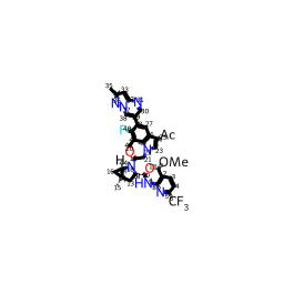 COCc1ccc(C(F)(F)F)nc1NC(=O)[C@@H]1C[C@@]2(C)C[C@H]2N1C(=O)Cn1cc(C(C)=O)c2cc(-c3cnc4cc(C)nn4c3)c(F)c(C)c21